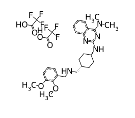 COc1cccc(CNC[C@H]2CC[C@H](Nc3nc(N(C)C)c4ccccc4n3)CC2)c1OC.O=C(O)C(F)(F)F.O=C(O)C(F)(F)F